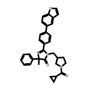 CC1(c2ccccc2)N=C(c2ccc(-c3ccc4occc4c3)cc2)N(CC2CCN(C(=O)C3CC3)C2)C1=O